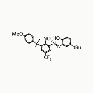 COc1ccc(C(C)(C)c2cc(C(F)(F)F)cc(N=Nc3cc(C(C)(C)C)ccc3O)c2[N+](=O)[O-])cc1